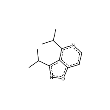 CC(C)c1nccc2onc(C(C)C)c12